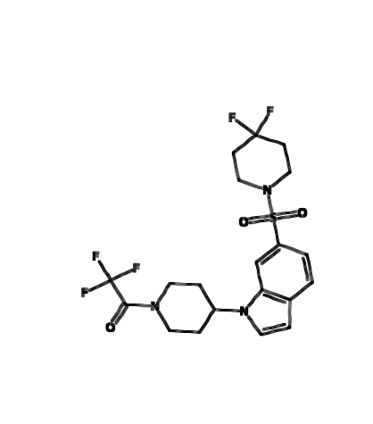 O=C(N1CCC(n2ccc3ccc(S(=O)(=O)N4CCC(F)(F)CC4)cc32)CC1)C(F)(F)F